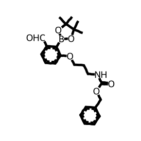 CC1(C)OB(c2c(C=O)cccc2OCCCNC(=O)OCc2ccccc2)OC1(C)C